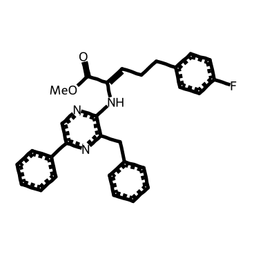 COC(=O)/C(=C/CCc1ccc(F)cc1)Nc1ncc(-c2ccccc2)nc1Cc1ccccc1